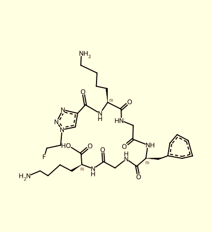 NCCCC[C@H](NC(=O)CNC(=O)[C@H](Cc1ccccc1)NC(=O)CNC(=O)[C@H](CCCCN)NC(=O)c1cn(CCF)nn1)C(=O)O